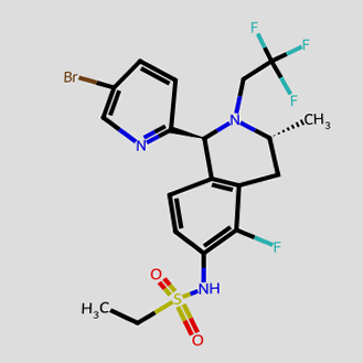 CCS(=O)(=O)Nc1ccc2c(c1F)C[C@@H](C)N(CC(F)(F)F)[C@@H]2c1ccc(Br)cn1